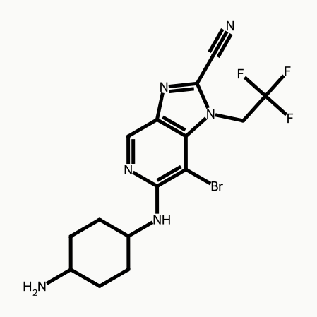 N#Cc1nc2cnc(NC3CCC(N)CC3)c(Br)c2n1CC(F)(F)F